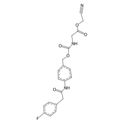 N#CCOC(=O)CNC(=O)OCc1ccc(NC(=O)Cc2ccc(F)cc2)cc1